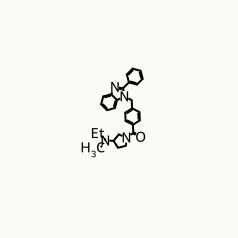 CCN(C)C1CCN(C(=O)c2ccc(Cn3c(-c4ccccc4)nc4ccccc43)cc2)C1